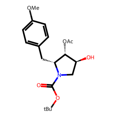 COc1ccc(C[C@@H]2[C@H](OC(C)=O)[C@@H](O)CN2C(=O)OC(C)(C)C)cc1